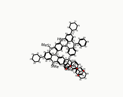 CSN1c2cc3c(cc2B2c4cc5c(cc4N(SC)c4cc(C6CCCCC6)cc1c42)N(SC)c1cc(C2CCCCC2)cc2c1B5c1ccccc1N2c1ccccc1)B1c2ccccc2N(c2ccccc2)c2cc(C4CCCCC4)cc(c21)N3